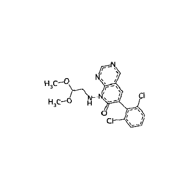 COC(CNn1c(=O)c(-c2c(Cl)cccc2Cl)cc2cncnc21)OC